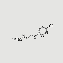 CCCCCCN=CCSc1ccc(Cl)nn1